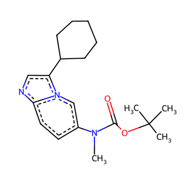 CN(C(=O)OC(C)(C)C)c1ccc2ncc(C3CCCCC3)n2c1